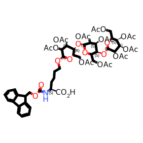 CC(=O)OCC1O[C@@H](OCCCC[C@H](NC(=O)OCC2c3ccccc3-c3ccccc32)C(=O)O)C(OC(C)=O)[C@@H](OC(C)=O)[C@@H]1O[C@@H]1OC(COC(C)=O)[C@H](O[C@H]2OC(COC(C)=O)[C@H](OC(C)=O)[C@H](OC(C)=O)C2OC(C)=O)[C@H](OC(C)=O)C1OC(C)=O